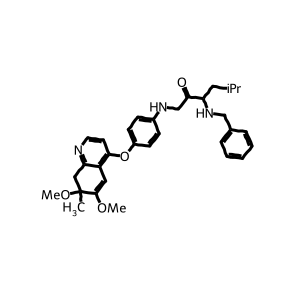 COC1=Cc2c(Oc3ccc(NCC(=O)C(CC(C)C)NCc4ccccc4)cc3)ccnc2CC1(C)OC